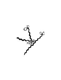 CCCCCCCCCC(CCCCCCCC(=O)OC)P(=O)(O)C(CCCCCCCCC)CCCCCCCC(=O)OC